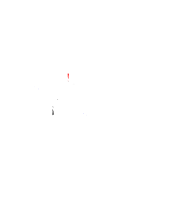 Cc1ccccc1CN(Cc1ccccc1C)[C@@H](Cc1cc(F)cc(F)c1)[C@H](O)[C@H]1CCCCN1